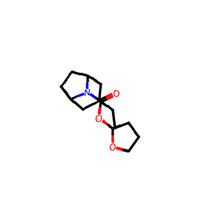 CCC1CC2CCC(C1)N2C(=O)OC1CCCO1